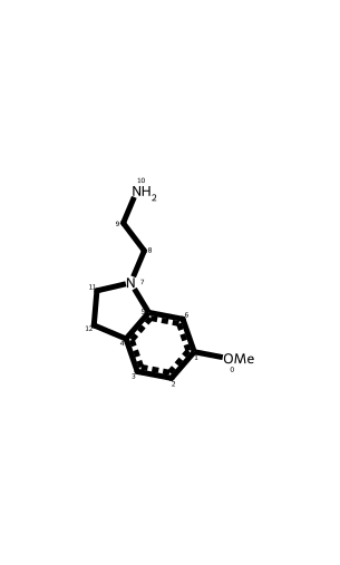 COc1ccc2c(c1)N(CCN)CC2